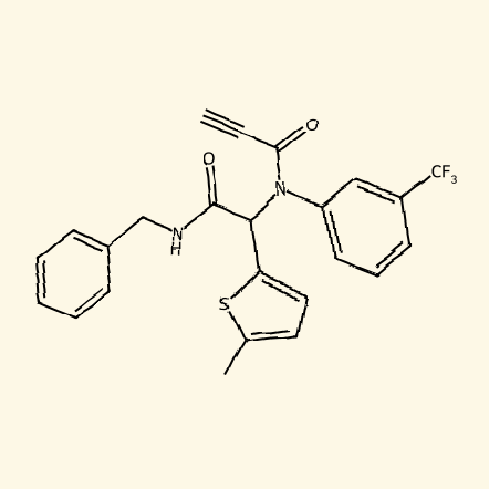 C#CC(=O)N(c1cccc(C(F)(F)F)c1)C(C(=O)NCc1ccccc1)c1ccc(C)s1